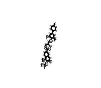 CC1CCC(c2cc(F)c(OCC3COC(c4ccc5c(F)c(OC(F)(F)F)c(F)cc5c4)OC3)c(F)c2)CC1